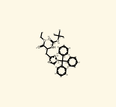 CCOC(=O)C(Cc1ncn(C(c2ccccc2)(c2ccccc2)c2ccccc2)n1)NC(=O)OC(C)(C)C